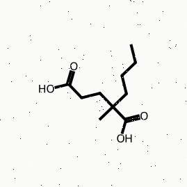 CCCCC(C)(CCC(=O)O)C(=O)O